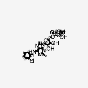 Cc1nc(NCc2ccccc2Cl)c2nnn([C@@H]3O[C@H](COP(=O)(O)CP(=O)(O)O)[C@@H](O)[C@H]3O)c2n1